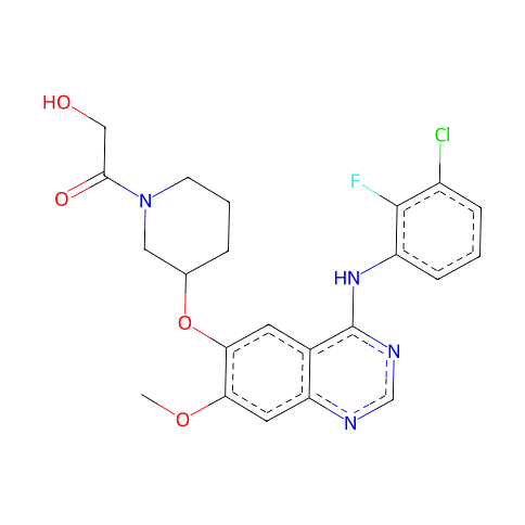 COc1cc2ncnc(Nc3cccc(Cl)c3F)c2cc1OC1CCCN(C(=O)CO)C1